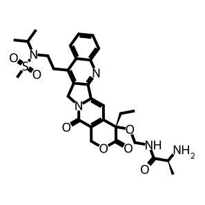 CC[C@@]1(OCNC(=O)[C@H](C)N)C(=O)OCc2c1cc1n(c2=O)Cc2c-1nc1ccccc1c2CCN(C(C)C)S(C)(=O)=O